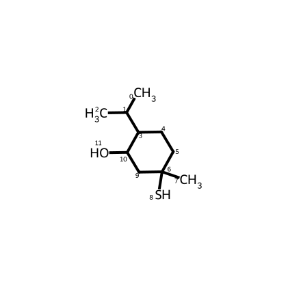 CC(C)C1CCC(C)(S)CC1O